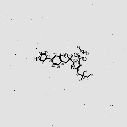 CCC(C)(C)Cc1cn(S(=O)(=O)N(C)C)c(C(C)(O)Cc2ccc(-c3cn[nH]c3)cc2)n1